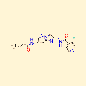 O=C(CCC(F)(F)F)NCc1cnn2cc(CNC(=O)c3ccncc3F)nc2c1